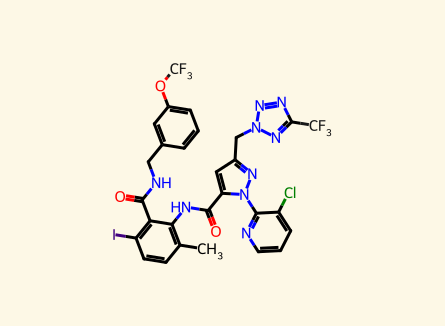 Cc1ccc(I)c(C(=O)NCc2cccc(OC(F)(F)F)c2)c1NC(=O)c1cc(Cn2nnc(C(F)(F)F)n2)nn1-c1ncccc1Cl